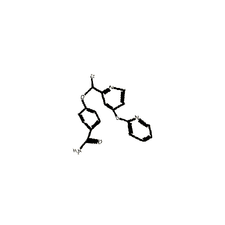 CCC(Oc1ccc(C(N)=O)cc1)c1cc(Oc2ccccn2)ccn1